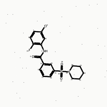 O=C(Nc1cc(Cl)ccc1F)c1cccc(S(=O)(=O)N2CCCCC2)c1